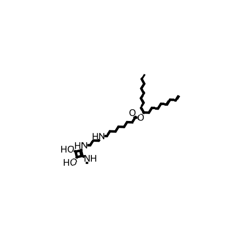 CCCCCCCCC(CCCCCCCC)OC(=O)CCCCCCCNCCCNC1=C(NC)C(O)C1O